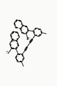 Cc1ccc(-c2cc3ccccc3cc2Br)c(C#CC#Cc2cc(C)ccc2-c2cc3ccccc3cc2Br)c1